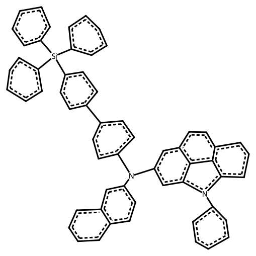 c1ccc(-n2c3cccc4ccc5cc(N(c6ccc(-c7ccc([Si](c8ccccc8)(c8ccccc8)c8ccccc8)cc7)cc6)c6ccc7ccccc7c6)cc2c5c43)cc1